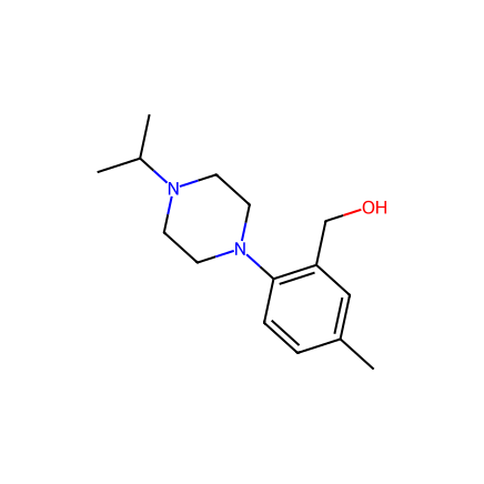 Cc1ccc(N2CCN(C(C)C)CC2)c(CO)c1